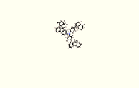 CC1(C)c2ccccc2-c2cccc(-c3ccc(N(c4ccc(-c5cccc6ccccc56)cc4)c4ccc5c(c4)C4(CCc6ccccc64)c4ccccc4-5)cc3)c21